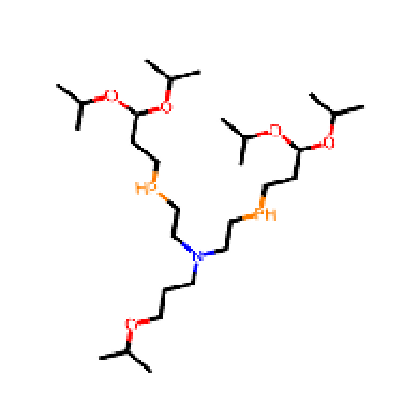 CC(C)OCCCN(CCPCCC(OC(C)C)OC(C)C)CCPCCC(OC(C)C)OC(C)C